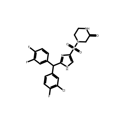 O=C1CN(S(=O)(=O)c2c[nH]c(C(c3ccc(F)c(F)c3)c3ccc(F)c(Cl)c3)n2)CCN1